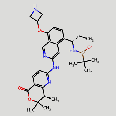 CC[C@H](N[S+]([O-])C(C)(C)C)c1ccc(OC2CNC2)c2cnc(Nc3ccc4c(n3)[C@@H](C)C(C)(C)OC4=O)cc12